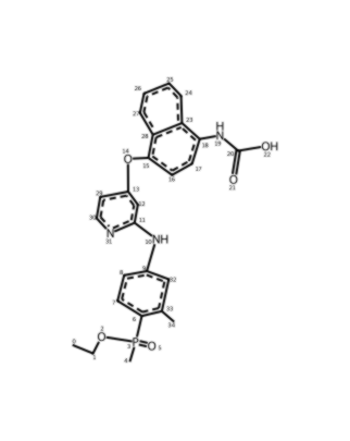 CCOP(C)(=O)c1ccc(Nc2cc(Oc3ccc(NC(=O)O)c4ccccc34)ccn2)cc1C